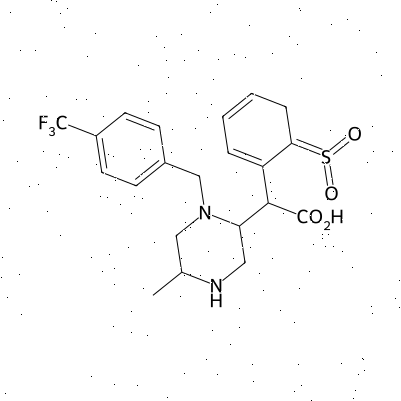 CC1CN(Cc2ccc(C(F)(F)F)cc2)C(C(C(=O)O)C2=CC=CCC2=S(=O)=O)CN1